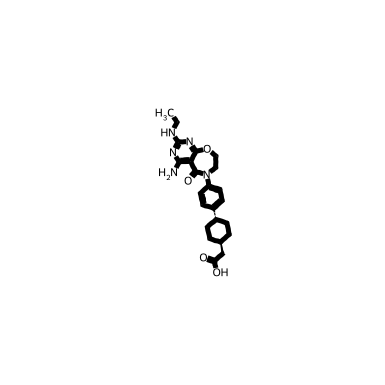 CCNc1nc(N)c2c(n1)OCCN(c1ccc([C@H]3CC[C@H](CC(=O)O)CC3)cc1)C2=O